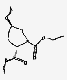 CCOC(=O)N1C[C@H](OI)C[C@H]1C(=O)OC